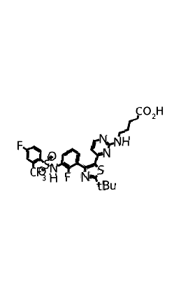 CC(C)(C)c1nc(-c2cccc(NS(=O)(=O)c3ccc(F)cc3C(F)(F)F)c2F)c(-c2ccnc(NCCCCC(=O)O)n2)s1